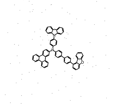 c1ccc2c(c1)oc1cccc(-c3ccc(-c4ccc(N(c5ccc(-n6c7ccccc7c7ccccc76)cc5)c5ccc6c7ccccc7c7ccccc7c6c5)cc4)cc3)c12